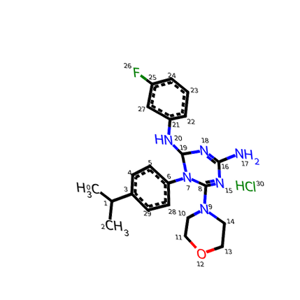 CC(C)c1ccc(N2C(N3CCOCC3)=NC(N)=NC2Nc2cccc(F)c2)cc1.Cl